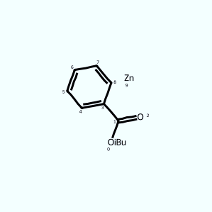 CC(C)COC(=O)c1ccccc1.[Zn]